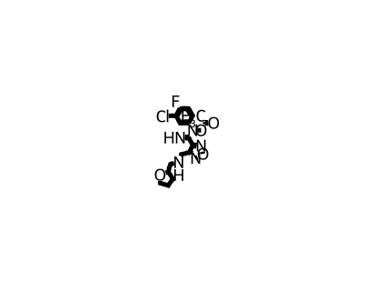 N=C(c1nonc1CNCC1CCCO1)N(OC(=O)C(F)(F)F)c1ccc(F)c(Cl)c1